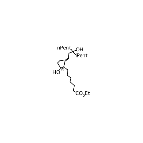 CCCCCC(O)(CC=C1CC[C@H](O)[C@@H]1CCCCCCC(=O)OCC)C(C)CCC